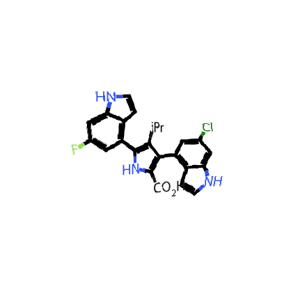 CC(C)c1c(-c2cc(F)cc3[nH]ccc23)[nH]c(C(=O)O)c1-c1cc(Cl)cc2[nH]ccc12